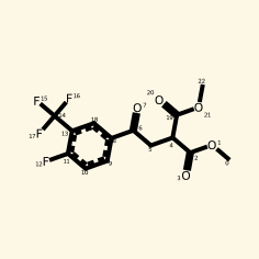 COC(=O)C(CC(=O)c1ccc(F)c(C(F)(F)F)c1)C(=O)OC